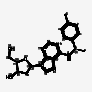 Cc1ccc([C@H](C)Nc2ncnc3c2ncn3[C@H]2CC(O)[C@@H](CO)O2)cc1